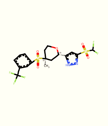 C[C@]1(S(=O)(=O)c2cccc(C(F)(F)F)c2)CCO[C@H](c2cc(S(=O)(=O)C(F)F)n[nH]2)C1